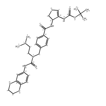 CN(C)CCN(Cc1ccc(C(=O)NC2CSC=C2NC(=O)OC(C)(C)C)cc1)C(=O)Nc1ccc2c(c1)OCCO2